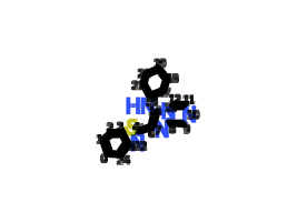 c1ccc2sc(-c3nc4cnccn4c3NC3CCCCC3)nc2c1